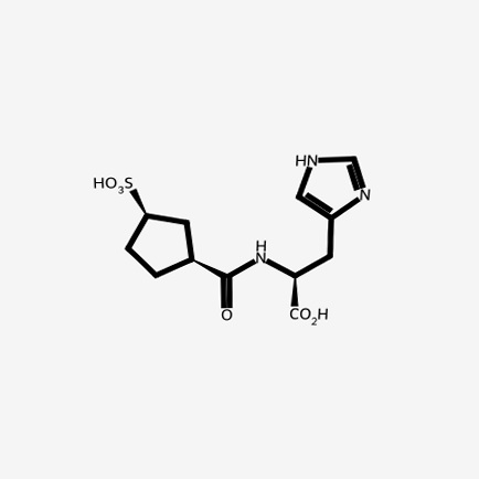 O=C(N[C@@H](Cc1c[nH]cn1)C(=O)O)[C@H]1CC[C@@H](S(=O)(=O)O)C1